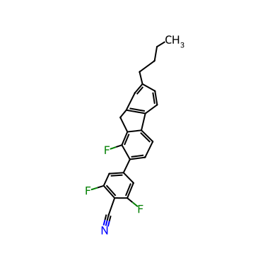 CCCCc1ccc2c(c1)Cc1c-2ccc(-c2cc(F)c(C#N)c(F)c2)c1F